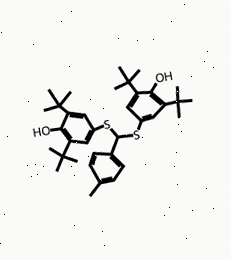 Cc1ccc(C(Sc2cc(C(C)(C)C)c(O)c(C(C)(C)C)c2)Sc2cc(C(C)(C)C)c(O)c(C(C)(C)C)c2)cc1